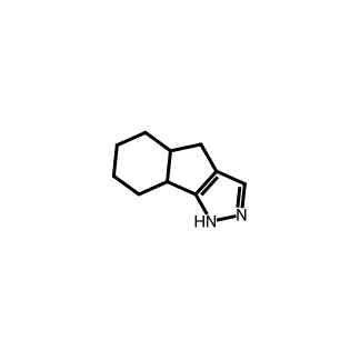 c1n[nH]c2c1CC1CCCCC21